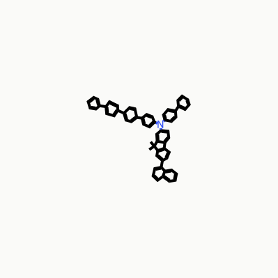 CC1(C)c2cc(-c3cccc4ccccc34)ccc2-c2ccc(N(c3ccc(-c4ccccc4)cc3)c3ccc(-c4ccc(-c5ccc(-c6ccccc6)cc5)cc4)cc3)cc21